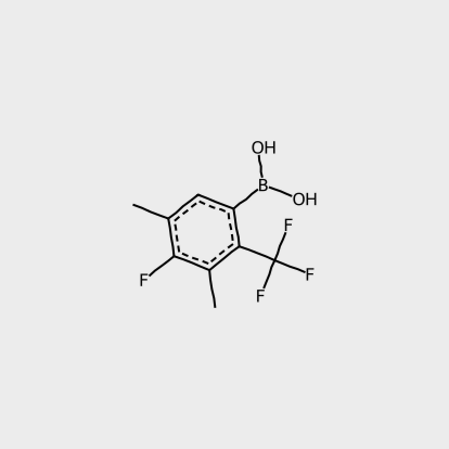 Cc1cc(B(O)O)c(C(F)(F)F)c(C)c1F